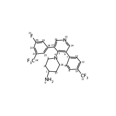 NC1CCN(c2c(-c3ccc(C(F)(F)F)cc3)cncc2-c2cc(F)cc(C(F)(F)F)c2)CC1